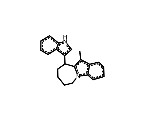 Cc1c2n(c3ccccc13)CCCCC2c1c[nH]c2ccccc12